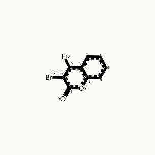 O=c1oc2ccccc2c(F)c1Br